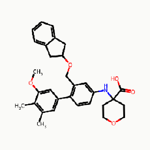 COc1cc(-c2ccc(NC3(C(=O)O)CCOCC3)cc2COC2Cc3ccccc3C2)cc(C)c1C